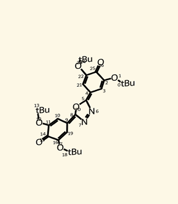 CC(C)(C)OC1=CC(=c2nnc(=C3C=C(OC(C)(C)C)C(=O)C(OC(C)(C)C)=C3)o2)C=C(OC(C)(C)C)C1=O